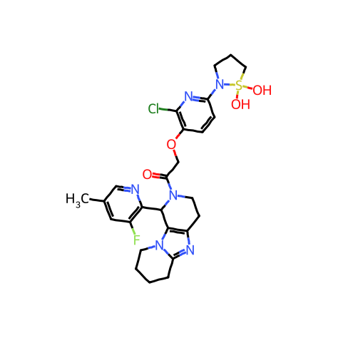 Cc1cnc(C2c3c(nc4n3CCCC4)CCN2C(=O)COc2ccc(N3CCCS3(O)O)nc2Cl)c(F)c1